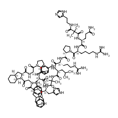 CC(C)C[C@H](NC(=O)[C@@H](CCCNC(=N)N)NC(=O)[C@@H]1CCCN1C(=O)[C@H](CCCCNC(=N)N)NC(=O)[C@H](CCC(N)=O)NC(=O)C(C)(C)C(=O)NCCc1cnc[nH]1)C(=O)NC(C)(C)C(=O)N[C@@H](Cc1c[nH]cn1)C(=O)N[C@@H](CC1CCNCC1)C(=O)N(C)CC(=O)N1[C@H](C(=O)N[C@@H](Cc2ccc(Br)cc2)C(=O)N2CCC[C@H]2C(=O)N[C@H](Cc2ccc(-c3ccccc3)cc2)C(=O)O)C[C@@H]2CCCC[C@@H]21